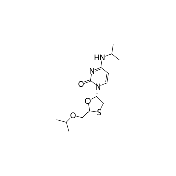 CC(C)Nc1ccn([C@@H]2CSC(COC(C)C)O2)c(=O)n1